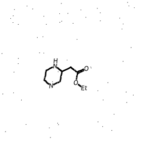 CCOC(=O)CC1C[N]CCN1